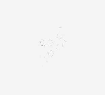 COC(=O)c1ccc2c(c1)NC(=O)/C2=C(\Nc1ccc(N(C)C(=O)CN(C)C)cc1)c1ccc2nccnc2c1